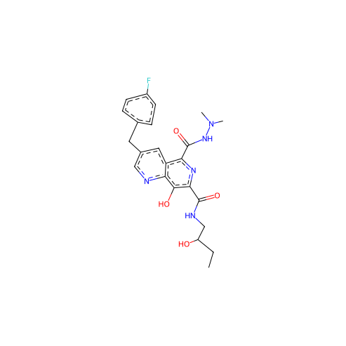 CCC(O)CNC(=O)c1nc(C(=O)NN(C)C)c2cc(Cc3ccc(F)cc3)cnc2c1O